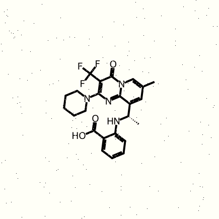 Cc1cc([C@H](C)Nc2ccccc2C(=O)O)c2nc(N3CCCCC3)c(C(F)(F)F)c(=O)n2c1